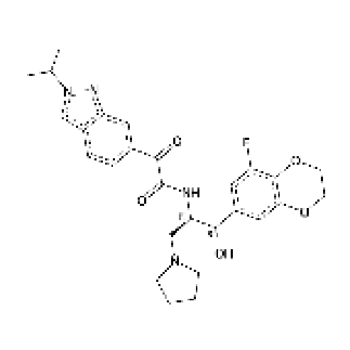 CC(C)n1cc2ccc(C(=O)C(=O)N[C@H](CN3CCCC3)[C@@H](O)c3cc(F)c4c(c3)OCCO4)cc2n1